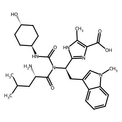 Cc1[nH]c([C@@H](Cc2cn(C)c3ccccc23)N(C(=O)N[C@H]2CC[C@H](O)CC2)C(=O)[C@@H](N)CC(C)C)nc1C(=O)O